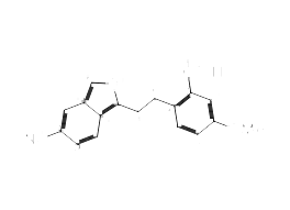 COc1ccc(CCc2occ3cc(C#N)ccc23)c(C(=O)O)c1